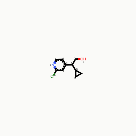 OCC(c1ccnc(Cl)c1)C1CC1